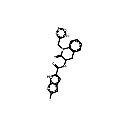 O=C(NC1Cc2ccccc2N(Cc2nnn[nH]2)C1=O)c1cc2cc(Cl)sc2[nH]1